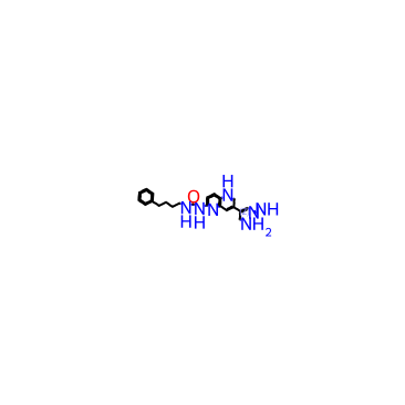 N=N/C=C(\CN)C1=Cc2nc(NC(=O)NCCCCc3ccccc3)ccc2NC1